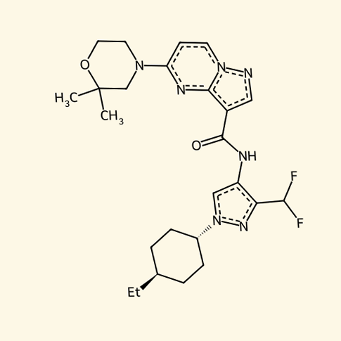 CC[C@H]1CC[C@H](n2cc(NC(=O)c3cnn4ccc(N5CCOC(C)(C)C5)nc34)c(C(F)F)n2)CC1